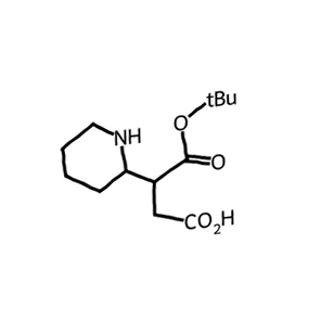 CC(C)(C)OC(=O)C(CC(=O)O)C1CCCCN1